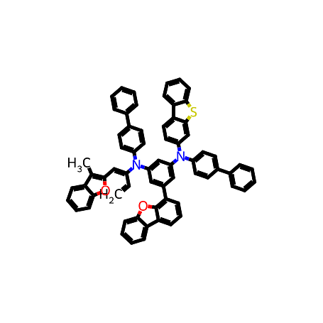 C=C/C(=C\c1oc2ccccc2c1C)N(c1ccc(-c2ccccc2)cc1)c1cc(-c2cccc3c2oc2ccccc23)cc(N(c2ccc(-c3ccccc3)cc2)c2ccc3c(c2)sc2ccccc23)c1